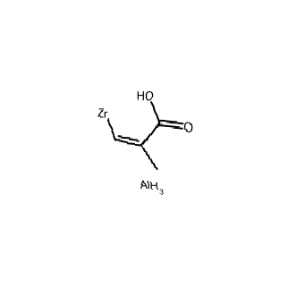 CC(=[CH][Zr])C(=O)O.[AlH3]